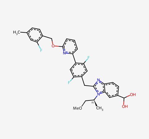 COC[C@H](C)n1c(Cc2cc(F)c(-c3cccc(OCc4ccc(C)cc4F)n3)cc2F)nc2ccc(C(O)O)cc21